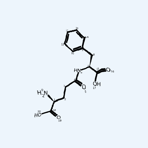 N[C@@H](CCC(=O)N[C@@H](Cc1ccccc1)C(=O)O)C(=O)O